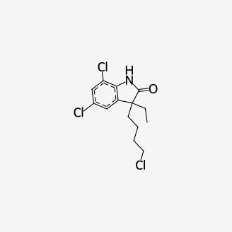 CCC1(CCCCCl)C(=O)Nc2c(Cl)cc(Cl)cc21